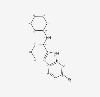 Brc1ccc2c3c([nH]c2c1)C(NC1CCCCC1)CCC3